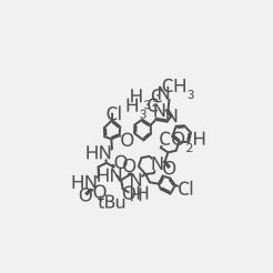 CN(C)Cc1ncc(-c2ccc(Oc3cc(Cl)ccc3CNC(CCNC(=O)OC(C)(C)C)C(=O)NC(CO)C(=O)NC3(Cc4ccc(Cl)cc4)CCCN(C(=O)C(CC(=O)O)Cc4ccccc4)C3)cc2)n1C